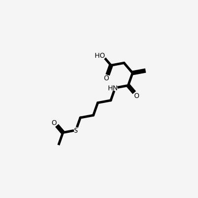 C=C(CC(=O)O)C(=O)NCCCCSC(C)=O